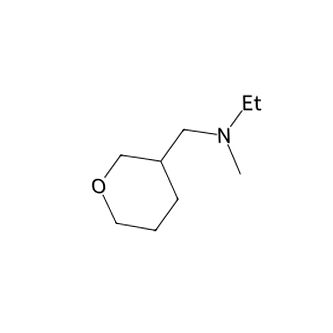 CCN(C)CC1CCCOC1